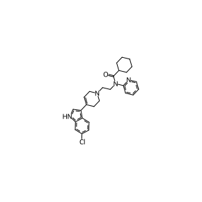 O=C(C1CCCCC1)N(CCN1CC=C(c2c[nH]c3cc(Cl)ccc23)CC1)c1ccccn1